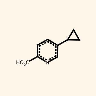 O=C(O)c1ccc(C2CC2)cn1